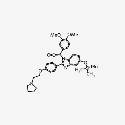 COc1ccc(C(=C=O)n2c(-c3ccc(OCCN4CCCC4)cc3)nc3cc(O[Si](C)(C)C(C)(C)C)ccc32)cc1OC